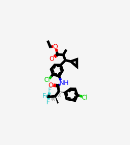 CCOC(=O)C(C)C(c1ccc(Cl)c(NC(=O)[C@H](c2ccc(Cl)cc2)[C@@H](C)C(F)(F)F)c1)C1CC1